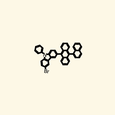 Brc1ccc2c(c1)c1cc(-c3c4ccccc4c(-c4cccc5ccccc45)c4ccccc34)ccc1n2-c1ccccc1